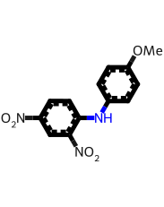 COc1ccc(Nc2ccc([N+](=O)[O-])cc2[N+](=O)[O-])cc1